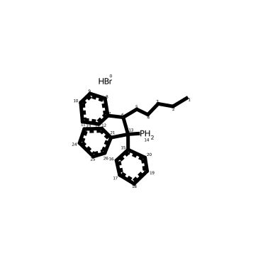 Br.CCCCCC(c1ccccc1)C(P)(c1ccccc1)c1ccccc1